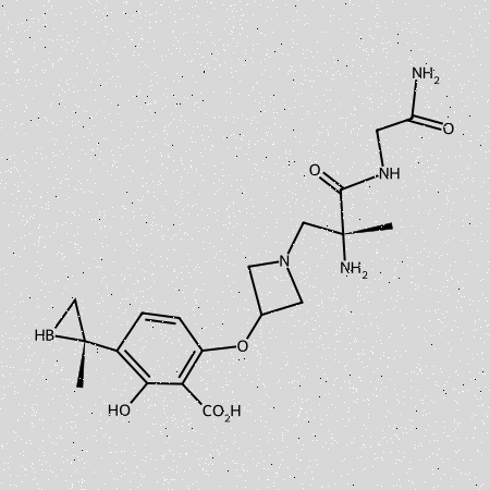 C[C@@](N)(CN1CC(Oc2ccc([C@]3(C)BC3)c(O)c2C(=O)O)C1)C(=O)NCC(N)=O